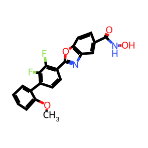 COc1ccccc1-c1ccc(-c2nc3cc(C(=O)NO)ccc3o2)c(F)c1F